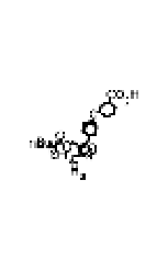 CCCCN(C)C(=O)OCc1c(C)noc1-c1ccc(OC2CCCC(C(=O)O)C2)cc1